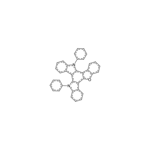 c1ccc(-n2c3ccccc3c3c4oc5ccccc5c4c4c(c5ccccc5n4-c4ccccc4)c32)cc1